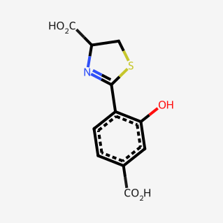 O=C(O)c1ccc(C2=NC(C(=O)O)CS2)c(O)c1